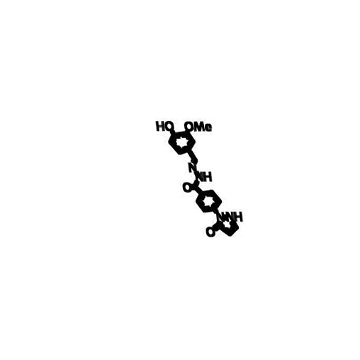 COc1cc(/C=N/NC(=O)c2ccc(-n3[nH]ccc3=O)cc2)ccc1O